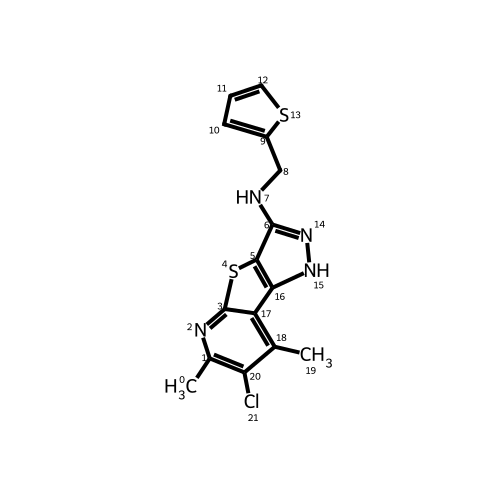 Cc1nc2sc3c(NCc4cccs4)n[nH]c3c2c(C)c1Cl